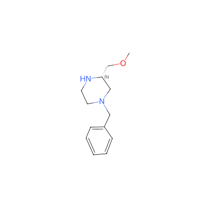 COC[C@@H]1CN(Cc2ccccc2)CCN1